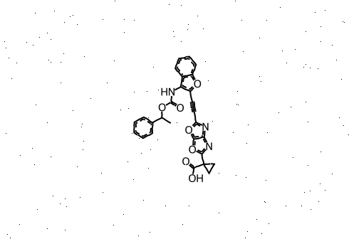 CC(OC(=O)Nc1c(C#Cc2nc3nc(C4(C(=O)O)CC4)oc3o2)oc2ccccc12)c1ccccc1